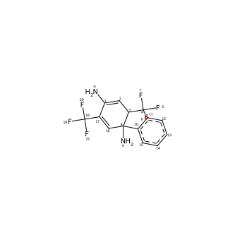 NC1=CC(C(F)(F)F)C(N)(c2ccccc2)C=C1C(F)(F)F